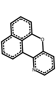 c1cnc2c(c1)Oc1cccc3cccc-2c13